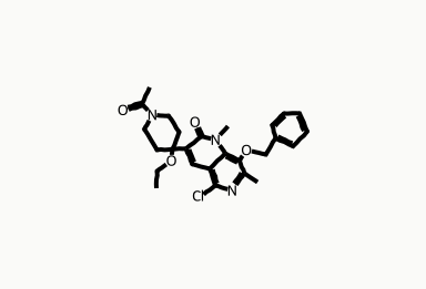 CCOC1(c2cc3c(Cl)nc(C)c(OCc4ccccc4)c3n(C)c2=O)CCN(C(C)=O)CC1